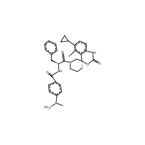 CN(C(=O)O)c1ccc(C(=O)N[C@@H](Cc2ccccc2)C(=O)N2CCC[C@@]3(C2)OC(=O)Nc2ccc(C4CC4)c(F)c23)cc1